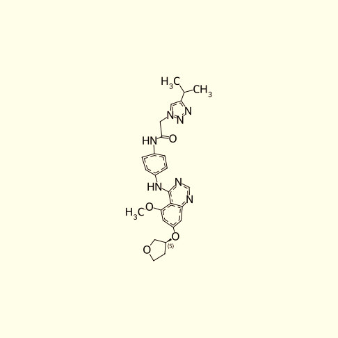 COc1cc(O[C@H]2CCOC2)cc2ncnc(Nc3ccc(NC(=O)Cn4cc(C(C)C)nn4)cc3)c12